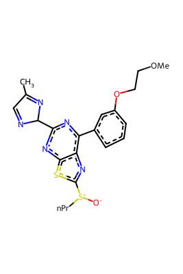 CCC[S+]([O-])c1nc2c(-c3cccc(OCCOC)c3)nc(C3N=CC(C)=N3)nc2s1